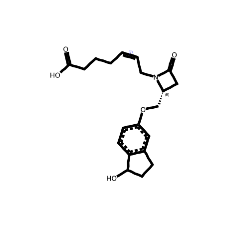 O=C(O)CCC/C=C\CN1C(=O)C[C@@H]1COc1ccc2c(c1)CCC2O